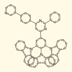 c1ccc(-c2nc(-c3ccc(-c4cccnc4)cc3)cc(-c3cc(-n4c5ccccc5c5ccccc54)c(-n4c5ccccc5c5ccccc54)c(-n4c5ccccc5c5ccccc54)c3)n2)cc1